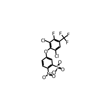 O=[N+]([O-])c1ccc(Oc2c(Cl)cc(C(F)(F)F)c(F)c2Cl)cc1S(=O)(=O)Cl